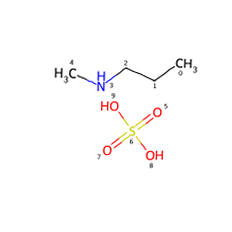 CCCNC.O=S(=O)(O)O